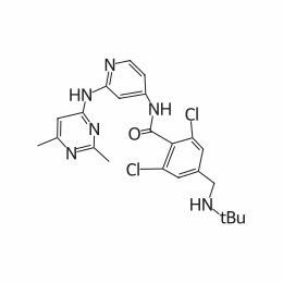 Cc1cc(Nc2cc(NC(=O)c3c(Cl)cc(CNC(C)(C)C)cc3Cl)ccn2)nc(C)n1